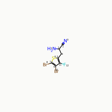 N#CC(N)Cc1sc(Br)c(Br)c1F